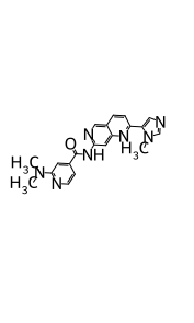 CN(C)c1cc(C(=O)Nc2cc3nc(-c4cncn4C)ccc3cn2)ccn1